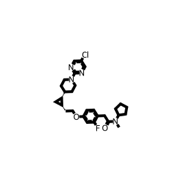 CN(C(=O)Cc1ccc(OCC[C@@H]2C[C@@H]2C2CCN(c3ncc(Cl)cn3)CC2)cc1F)C1CCCC1